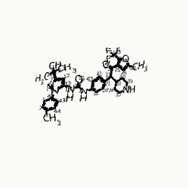 Cc1ccc(-n2nc(C(C)(C)C)cc2NC(=O)Nc2ccc(C(C(=O)c3cc(C)oc3C(F)(F)F)C3CCNCC3)cc2)cc1